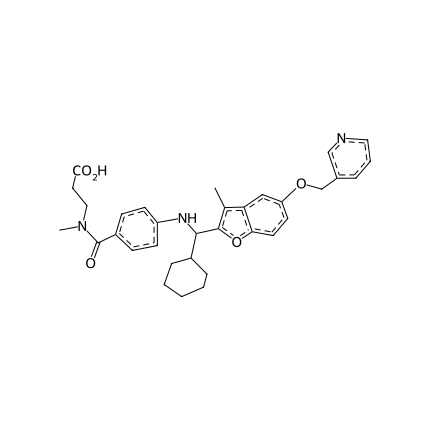 Cc1c(C(Nc2ccc(C(=O)N(C)CCC(=O)O)cc2)C2CCCCC2)oc2ccc(OCc3cccnc3)cc12